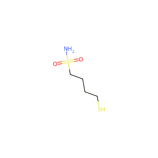 NS(=O)(=O)CCCCS